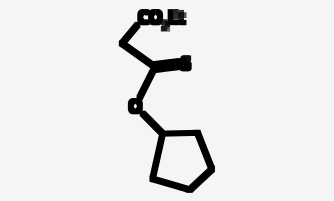 CCOC(=O)CC(=S)OC1CCCC1